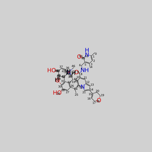 Cc1cc(C)c(CNC(=O)c2cc3cc(C4=CCOCC4)cn3c(C(C)c3cc(O)c4c5c3C[C@@H]3[C@@H]6C=C[C@H](O)[C@H](O4)[C@]56CCN3C)c2C)c(=O)[nH]1